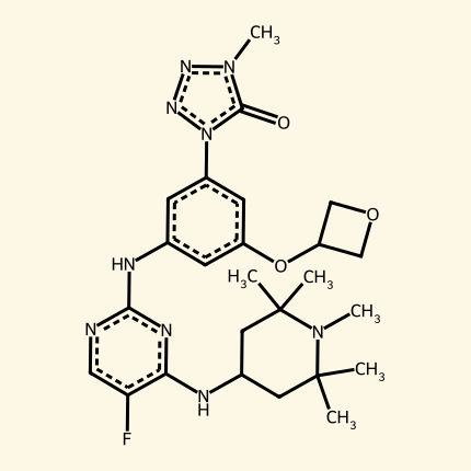 CN1C(C)(C)CC(Nc2nc(Nc3cc(OC4COC4)cc(-n4nnn(C)c4=O)c3)ncc2F)CC1(C)C